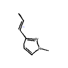 C/C=C/c1ccn(C)n1